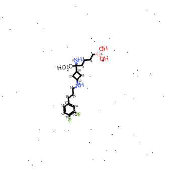 NC(CCCCB(O)O)(C(=O)O)C1CC(NCCCc2ccc(F)c(F)c2)C1